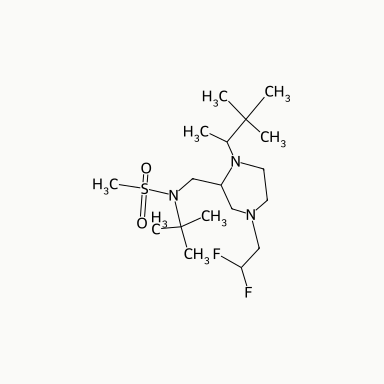 CC(N1CCN(CC(F)F)CC1CN(C(C)(C)C)S(C)(=O)=O)C(C)(C)C